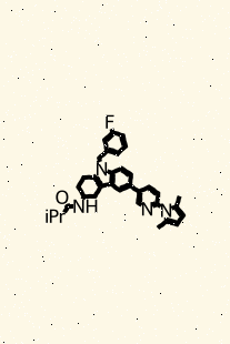 Cc1ccc(C)n1-c1ccc(-c2ccc3c(c2)c2c(n3Cc3cccc(F)c3)CCC(NC(=O)C(C)C)C2)cn1